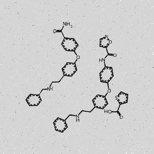 NC(=O)c1ccc(Oc2ccc(CCNCc3ccccc3)cc2)cc1.O=C(Nc1ccc(Oc2ccc(CCNCc3ccccc3)cc2)cc1)c1ccno1.O=C(O)c1cccs1